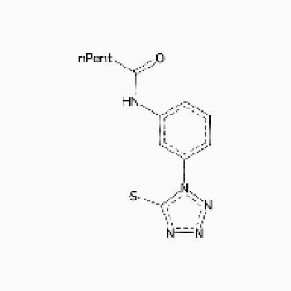 CCCCCC(=O)Nc1cccc(-n2nnnc2[S])c1